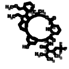 CCn1c(-c2cnccc2COC)c2c3cc(ccc31)-c1cc(O)cc(c1)C[C@H](NC(=O)[C@H](C(C)C)N(C)CC(F)(F)F)C(=O)N1CCC[C@H](N1)C(=O)OCC(C)(C)C2